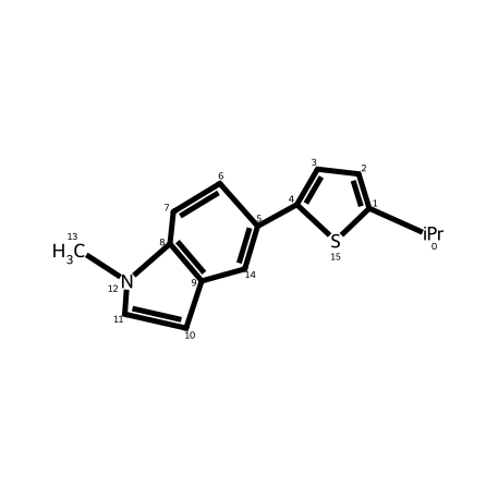 CC(C)c1ccc(-c2ccc3c(ccn3C)c2)s1